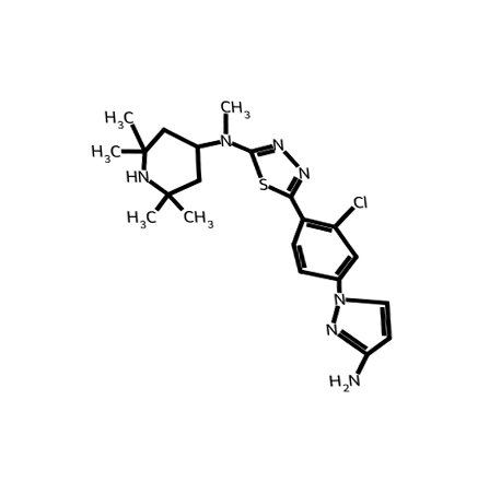 CN(c1nnc(-c2ccc(-n3ccc(N)n3)cc2Cl)s1)C1CC(C)(C)NC(C)(C)C1